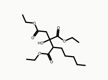 CCCCCC(C(=O)OCC)C(O)(CC(=O)OCC)C(=O)OCC